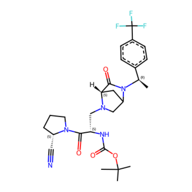 C[C@H](c1ccc(C(F)(F)F)cc1)N1C(=O)[C@@H]2CC1CN2C[C@H](NC(=O)OC(C)(C)C)C(=O)N1CCC[C@H]1C#N